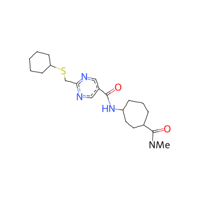 CNC(=O)C1CCCC(NC(=O)c2cnc(CSC3CCCCC3)nc2)CC1